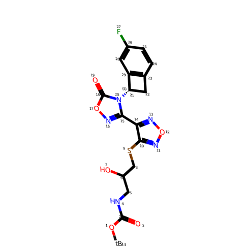 CC(C)(C)OC(=O)NCC(O)CSc1nonc1-c1noc(=O)n1[C@H]1Cc2ccc(F)cc21